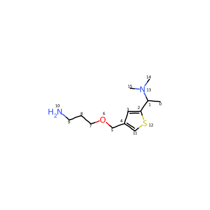 CC(c1cc(COCCCN)cs1)N(C)C